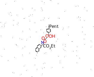 CCCC(C)c1ccc(C(O)OCC(=O)ON=C(C(=O)OCC)c2ccc3ccccc3c2)cc1